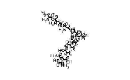 CC(C)C[C@H](N)C(=O)O.CC(C)[C@H](N)C(=O)O.CC(C)[C@H](N)C(=O)O.CSCC[C@H](N)C(=O)OC(=O)[C@@H](N)CC(C)C.C[C@@H](OC(=O)[C@@H]1CCCN1)[C@H](N)C(=O)O.NC(=O)CC[C@H](N)C(=O)O.NCC(=O)O.O=C(O)[C@@H]1CCCN1